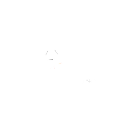 CCCCCCCCCCCCCCS(=O)(=O)c1cc[c]cc1